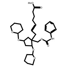 COC(=O)CCCC=CCC1(COC(=O)Nc2ccccc2)CC(OC2CCCCO2)CC1OC1CCCCO1